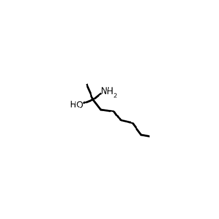 CCCCCCC(C)(N)O